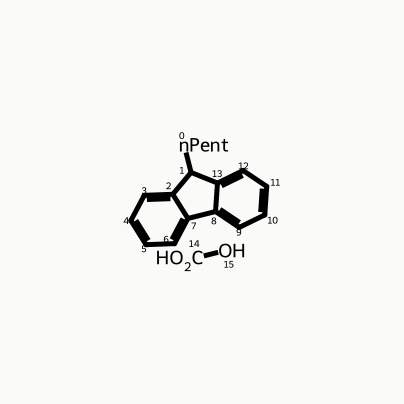 CCCCCC1c2ccccc2-c2ccccc21.O=C(O)O